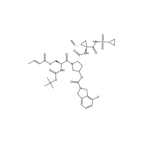 C=C[C@@H]1C[C@]1(NC(=O)[C@@H]1CC(OC(=O)N2Cc3cccc(F)c3C2)CN1C(=O)[C@H](COC(=O)/C=C/C)NC(=O)OC(C)(C)C)C(=O)NS(=O)(=O)C1CC1